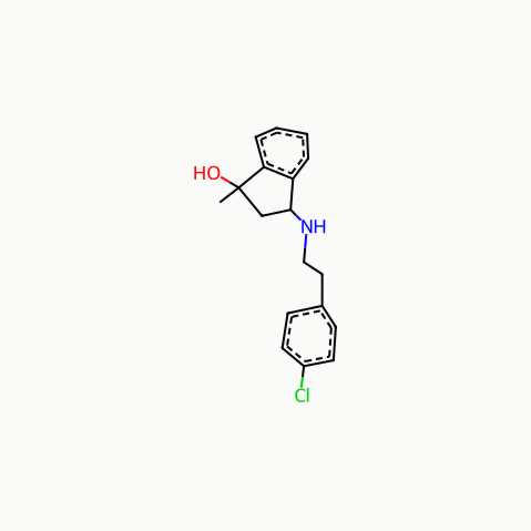 CC1(O)CC(NCCc2ccc(Cl)cc2)c2ccccc21